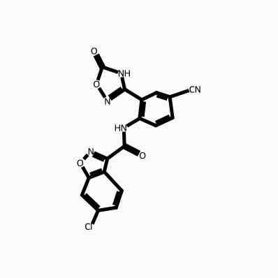 N#Cc1ccc(NC(=O)c2noc3cc(Cl)ccc23)c(-c2noc(=O)[nH]2)c1